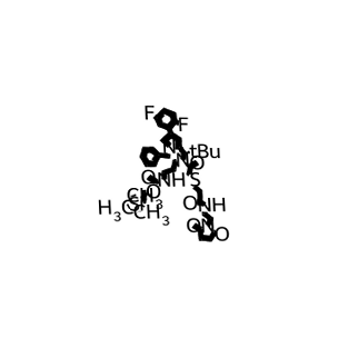 CC(C)(C)[C@H](c1cc(-c2cc(F)ccc2F)cn1Cc1ccccc1)N(CCCNC(=O)OCC[Si](C)(C)C)C(=O)CSCCC(=O)NCCN1C(=O)C=CC1=O